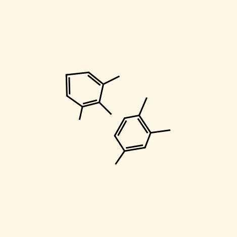 Cc1ccc(C)c(C)c1.Cc1cccc(C)c1C